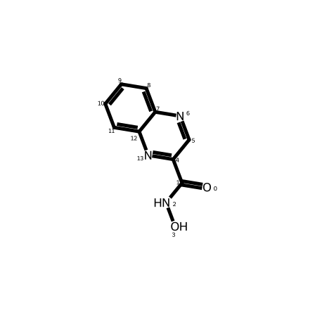 O=C(NO)c1cnc2ccccc2n1